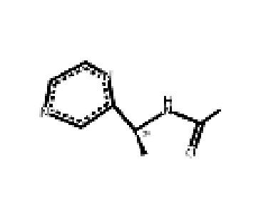 CC(=O)N[C@@H](C)c1cnccn1